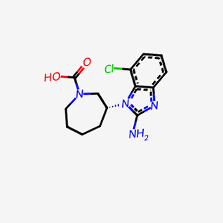 Nc1nc2cccc(Cl)c2n1[C@@H]1CCCCN(C(=O)O)C1